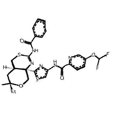 CC[C@@]1(C)C[C@H]2CSC(NC(=O)c3ccccc3)=N[C@@]2(c2nc(NC(=O)c3ccc(OC(F)F)cn3)cs2)CO1